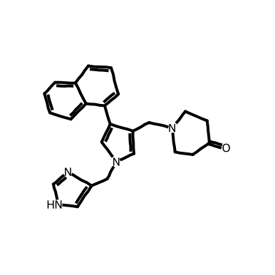 O=C1CCN(Cc2cn(Cc3c[nH]cn3)cc2-c2cccc3ccccc23)CC1